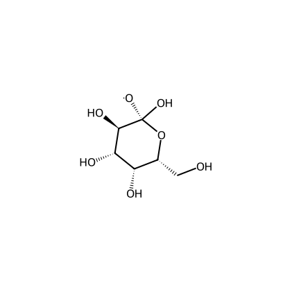 [O][C@]1(O)O[C@H](CO)[C@H](O)[C@H](O)[C@H]1O